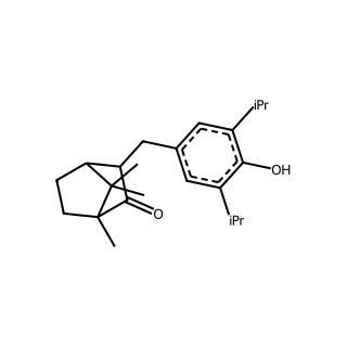 CC(C)c1cc(CC2C(=O)C3(C)CCC2C3(C)C)cc(C(C)C)c1O